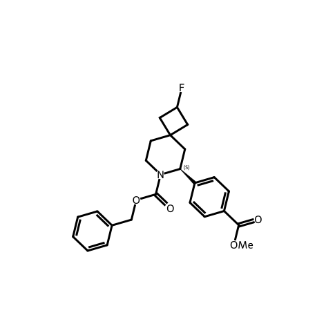 COC(=O)c1ccc([C@@H]2CC3(CCN2C(=O)OCc2ccccc2)CC(F)C3)cc1